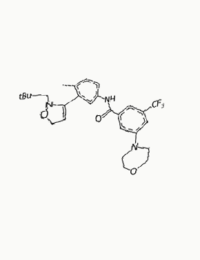 Cc1ccc(NC(=O)c2cc(N3CCOCC3)cc(C(F)(F)F)c2)cc1C1=CCON1CC(C)(C)C